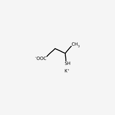 CC(S)CC(=O)[O-].[K+]